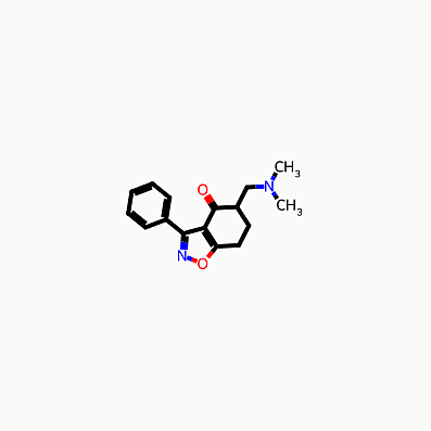 CN(C)CC1CCc2onc(-c3ccccc3)c2C1=O